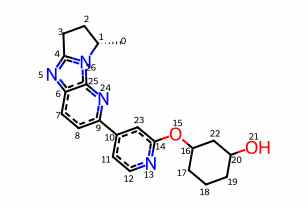 C[C@H]1CCc2nc3ccc(-c4ccnc(OC5CCCC(O)C5)c4)nc3n21